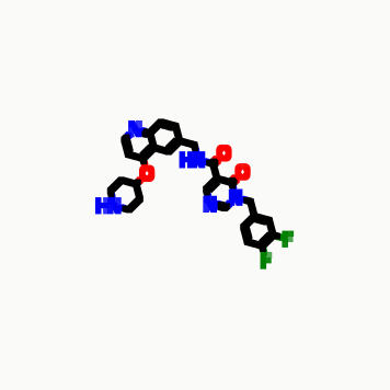 O=C(NCc1ccc2nccc(OC3CCNCC3)c2c1)c1cncn(Cc2ccc(F)c(F)c2)c1=O